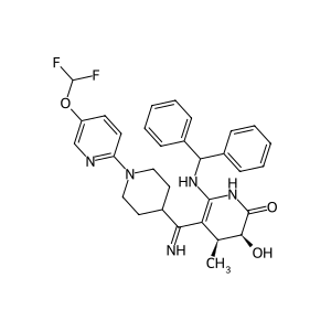 C[C@H]1C(C(=N)C2CCN(c3ccc(OC(F)F)cn3)CC2)=C(NC(c2ccccc2)c2ccccc2)NC(=O)[C@H]1O